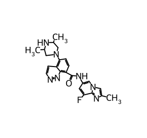 Cc1cn2cc(NC(=O)c3ccc(N4CC(C)NC(C)C4)c4ccnnc34)cc(F)c2n1